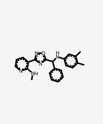 CNc1ncccc1-c1noc(C(Nc2ccc(C)c(C)c2)c2ccccc2)n1